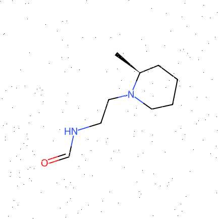 C[C@H]1CCCCN1CCNC=O